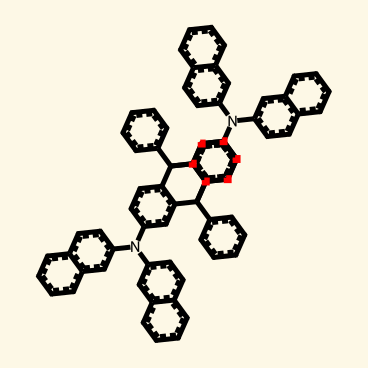 c1ccc(C23c4ccccc4C(c4ccccc4)(c4ccc(N(c5ccc6ccccc6c5)c5ccc6ccccc6c5)cc42)c2cc(N(c4ccc5ccccc5c4)c4ccc5ccccc5c4)ccc23)cc1